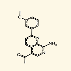 COc1cccc(-c2ccc3c(C(C)=O)cnc(N)c3n2)c1